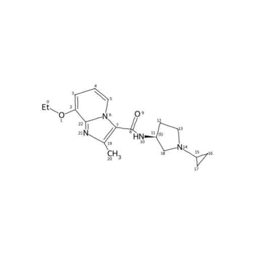 CCOc1cccn2c(C(=O)N[C@H]3CCN(C4CC4)C3)c(C)nc12